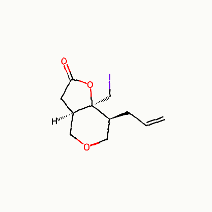 C=CC[C@H]1COC[C@H]2CC(=O)O[C@@]12CI